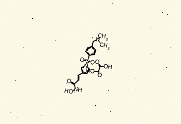 CN(C)Cc1ccc(S(=O)(=O)n2ccc(/C=C/C(=O)NO)c2)cc1.O=C(O)C(=O)O